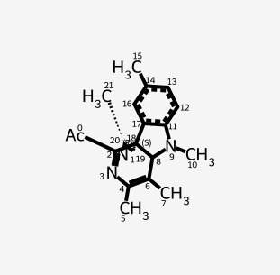 CC(=O)N1C2=NC(C)=C(C)C3N(C)c4ccc(C)cc4[C@]23C[C@H]1C